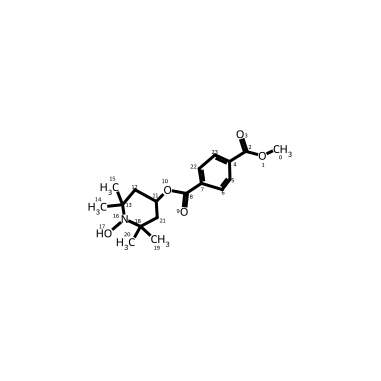 COC(=O)c1ccc(C(=O)OC2CC(C)(C)N(O)C(C)(C)C2)cc1